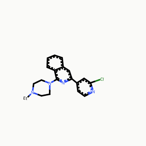 CCN1CCN(c2nc(-c3ccnc(Cl)c3)cc3ccccc23)CC1